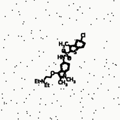 CCN(CC)CCOc1c(C)n(C)c2ccc(NS(=O)(=O)c3sc4ccc(Cl)cc4c3C)cc12